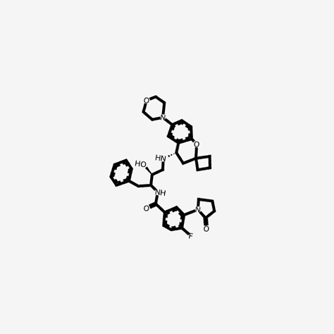 O=C(NC(Cc1ccccc1)[C@@H](O)CN[C@H]1CC2(CCC2)Oc2ccc(N3CCOCC3)cc21)c1ccc(F)c(N2CCCC2=O)c1